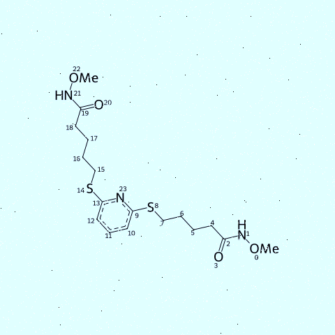 CONC(=O)CCCCSc1cccc(SCCCCC(=O)NOC)n1